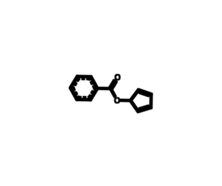 O=C(OC1C=CC=C1)c1ccccc1